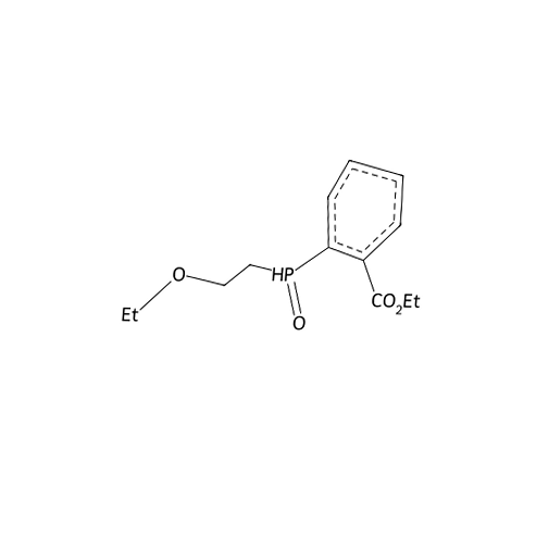 CCOCC[PH](=O)c1ccccc1C(=O)OCC